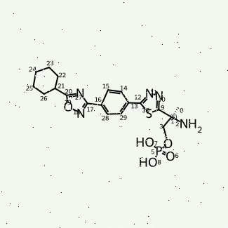 C[C@](N)(COP(=O)(O)O)c1nnc(-c2ccc(-c3noc(C4CCCCC4)n3)cc2)s1